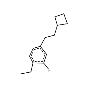 CCc1ccc(CCC2CCC2)cc1F